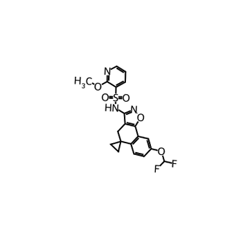 COc1ncccc1S(=O)(=O)Nc1noc2c1CC1(CC1)c1ccc(OC(F)F)cc1-2